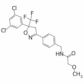 COCC(=O)NCc1ccc(C2=NOC(c3cc(Cl)cc(Cl)c3)(C(F)(F)F)C2)cc1